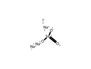 O=[Se]([O-])[O-].[I-].[Na+].[Na+].[Na+]